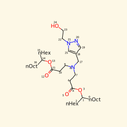 CCCCCCCCC(CCCCCC)OC(=O)CCN(CCC(=O)OC(CCCCCC)CCCCCCCC)Cc1cnn(CCO)c1